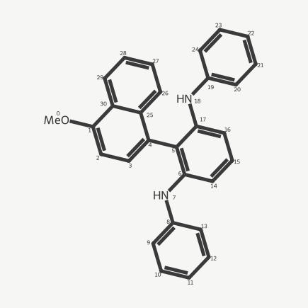 COc1ccc(-c2c(Nc3ccccc3)cccc2Nc2ccccc2)c2ccccc12